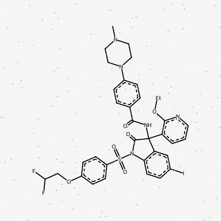 CCOc1ncccc1C1(NC(=O)c2ccc(N3CCN(C)CC3)cc2)C(=O)N(S(=O)(=O)c2ccc(OCC(F)F)cc2)c2ccc(I)cc21